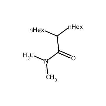 CCCCCCC(CCCCCC)C(=O)N(C)C